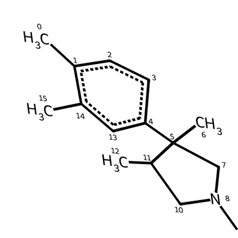 Cc1ccc(C2(C)CN(C(C)C)CC2C)cc1C